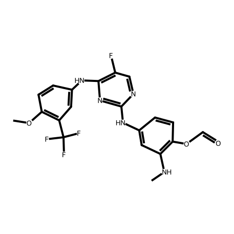 CNc1cc(Nc2ncc(F)c(Nc3ccc(OC)c(C(F)(F)F)c3)n2)ccc1OC=O